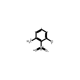 Cc1cccc(Cl)c1[SH](=O)=O